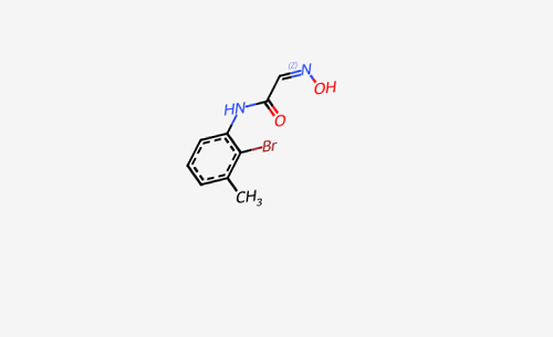 Cc1cccc(NC(=O)/C=N\O)c1Br